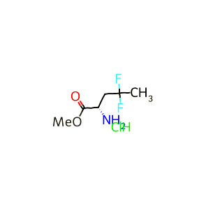 COC(=O)[C@@H](N)CC(C)(F)F.Cl